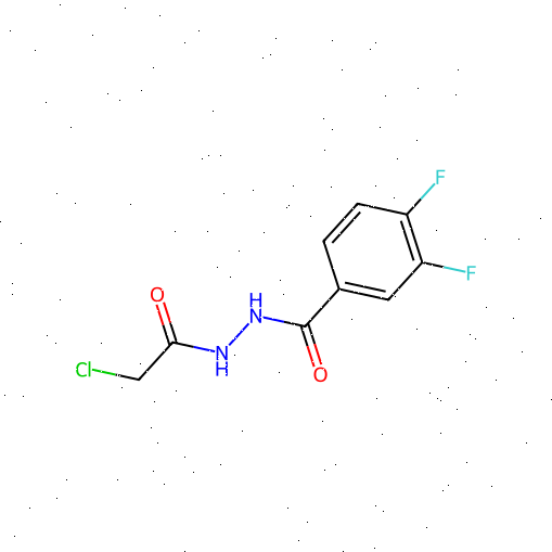 O=C(CCl)NNC(=O)c1ccc(F)c(F)c1